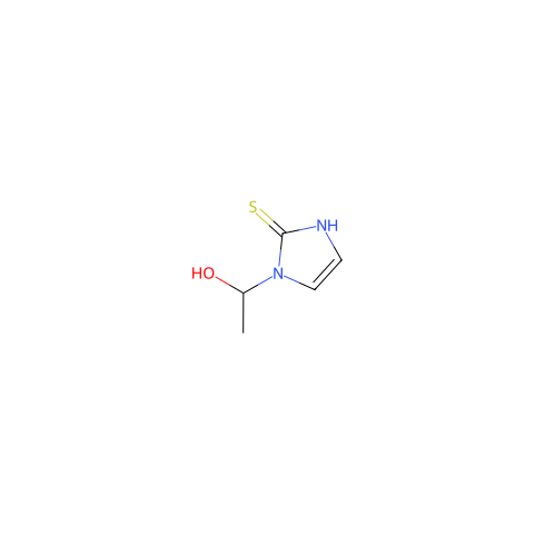 CC(O)n1cc[nH]c1=S